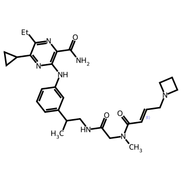 CCc1nc(C(N)=O)c(Nc2cccc(C(C)CNC(=O)CN(C)C(=O)/C=C/CN3CCC3)c2)nc1C1CC1